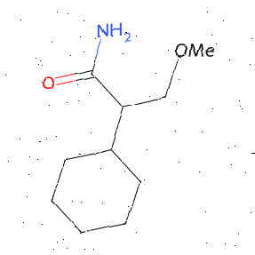 COCC(C(N)=O)C1CCCCC1